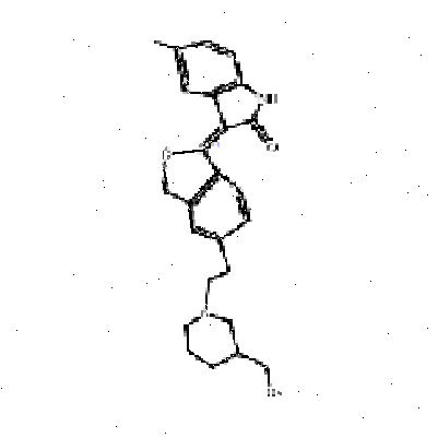 O=C1Nc2ccc(F)cc2/C1=C1\OCc2cc(CCN3CCCC(CO)C3)ccc21